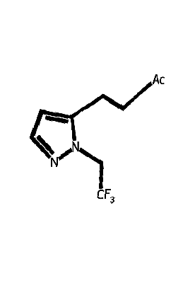 CC(=O)CCc1ccnn1CC(F)(F)F